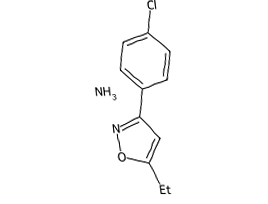 CCc1cc(-c2ccc(Cl)cc2)no1.N